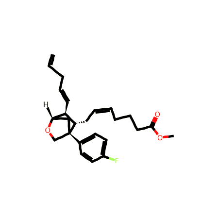 C=CC/C=C/[C@@H]1[C@@H]2C[C@@](c3ccc(F)cc3)(CO2)[C@H]1C/C=C\CCCC(=O)OC